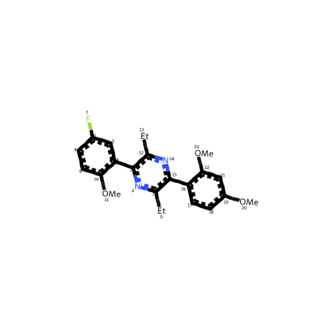 CCc1nc(-c2cc(F)ccc2OC)c(CC)nc1-c1ccc(OC)cc1OC